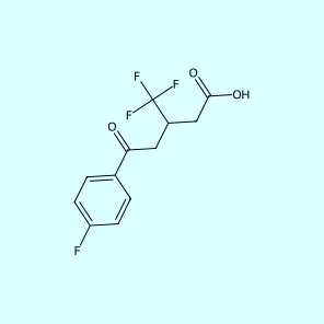 O=C(O)CC(CC(=O)c1ccc(F)cc1)C(F)(F)F